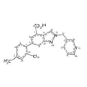 Cc1ccc(-c2cc(C(=O)O)c3cn(Cc4cccnc4)nc3c2)c(Cl)c1